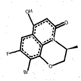 C[C@H]1COc2c(Br)c(F)cc3c(O)cc(=O)n1c23